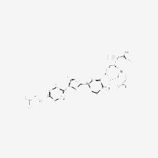 C[C@@]1(c2cc(-c3cc(-c4ccc(OCC(F)F)cn4)no3)ccc2F)C[C@@H](C(F)(F)F)N=C(NC(=O)O)O1